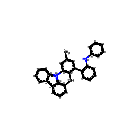 Cc1cc(-c2ccccc2Nc2ccccc2)c2c(c1)-n1c3ccccc3c3cccc(c31)B2